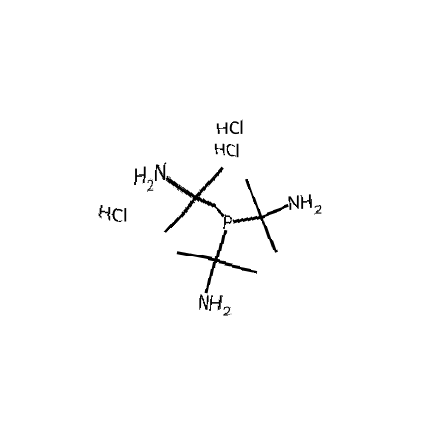 CC(C)(N)P(C(C)(C)N)C(C)(C)N.Cl.Cl.Cl